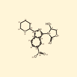 O=C1OCC(O)N1c1nn(C2CCCCO2)c2ccc([N+](=O)[O-])cc12